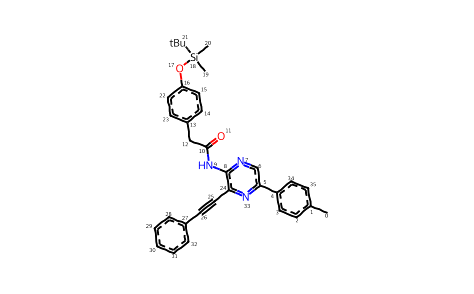 Cc1ccc(-c2cnc(NC(=O)Cc3ccc(O[Si](C)(C)C(C)(C)C)cc3)c(C#Cc3ccccc3)n2)cc1